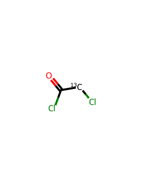 O=C(Cl)[13CH2]Cl